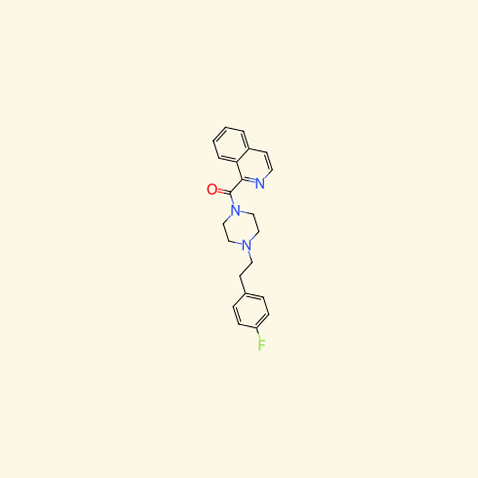 O=C(c1nccc2ccccc12)N1CCN(CCc2ccc(F)cc2)CC1